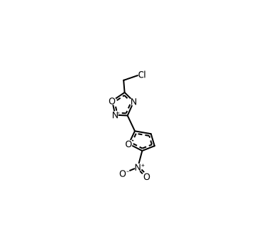 O=[N+]([O-])c1ccc(-c2noc(CCl)n2)o1